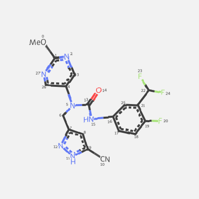 COc1ncc(N(Cc2cc(C#N)[nH]n2)C(=O)Nc2ccc(F)c(C(F)F)c2)cn1